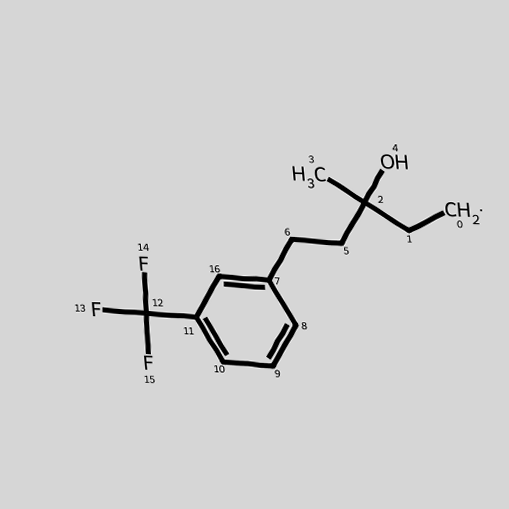 [CH2]CC(C)(O)CCc1cccc(C(F)(F)F)c1